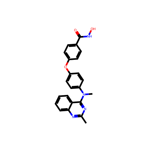 Cc1nc(N(C)c2ccc(Oc3ccc(C(=O)NO)cc3)cc2)c2ccccc2n1